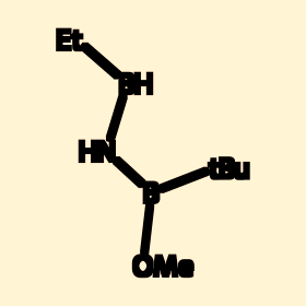 CCBNB(OC)C(C)(C)C